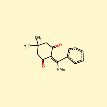 CNC(=C1C(=O)CC(C)(C)CC1=O)c1ccccc1